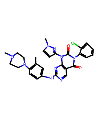 Cc1cc(Nc2ncc3c(=O)n(-c4ccccc4Cl)c(=O)n(-c4ccn(C)n4)c3n2)ccc1N1CCN(C)CC1